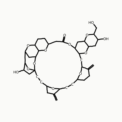 C=C1CC2CCC34CC(O)C(O3)C3CC(O4)C4OC(CCC4O3)CC(=O)OC3CC4OC(CO)C(O)CC4OC3CC3OC(CCC3=C)CCC1O2